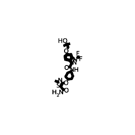 Cc1nc(O[C@H]2CC[C@H](NC(=O)c3nn(C(F)F)c4cc(OCC(C)(C)O)ccc34)CC2)c(C(N)=O)s1